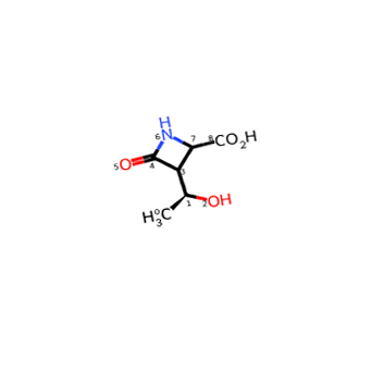 C[C@H](O)C1C(=O)NC1C(=O)O